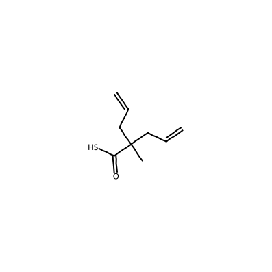 C=CCC(C)(CC=C)C(=O)S